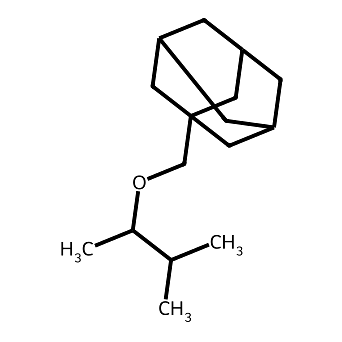 CC(C)C(C)OCC12CC3CC(CC(C3)C1)C2